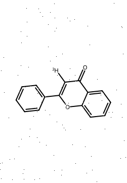 [2H]c1c(-c2ccccc2)oc2ccccc2c1=O